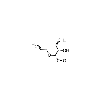 C=CCO[C@@H](C=O)[C@H](O)C=C